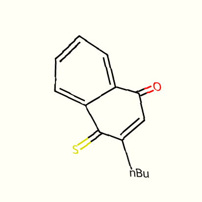 CCCCC1=CC(=O)c2ccccc2C1=S